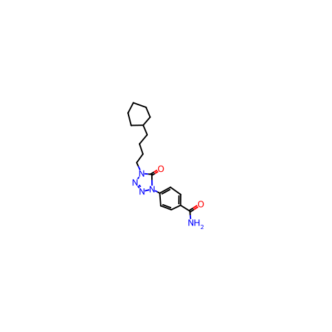 NC(=O)c1ccc(-n2nnn(CCCCC3CCCCC3)c2=O)cc1